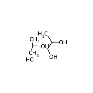 CC(C)O.CC(O)CO.Cl